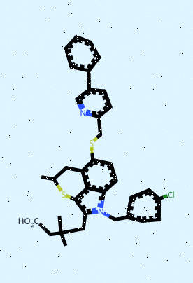 CC1Cc2c(SCc3ccc(-c4ccccc4)cn3)ccc3c2c(c(CC(C)(C)CC(=O)O)n3Cc2ccc(Cl)cc2)S1